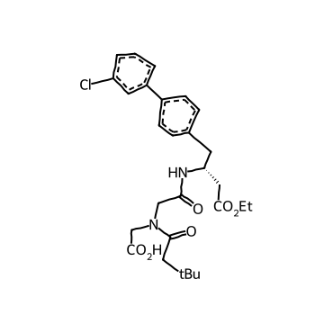 CCOC(=O)C[C@@H](Cc1ccc(-c2cccc(Cl)c2)cc1)NC(=O)CN(CC(=O)O)C(=O)CC(C)(C)C